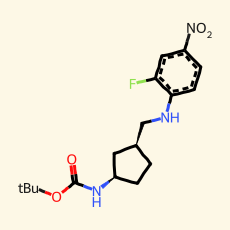 CC(C)(C)OC(=O)N[C@@H]1CC[C@H](CNc2ccc([N+](=O)[O-])cc2F)C1